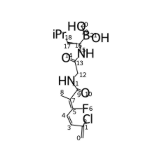 C=C(Cl)/C=C\C(F)=C(/C)C(=O)NCC(=O)N[C@@H](CC(C)C)B(O)O